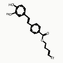 CC/C=C/CCOC(=O)c1ccc(/C=C/c2ccc(O)c(O)c2)cc1